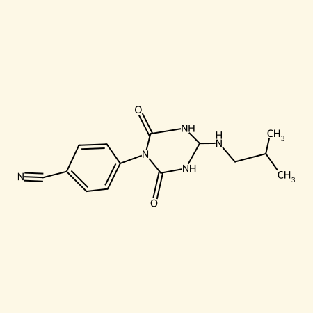 CC(C)CNC1NC(=O)N(c2ccc(C#N)cc2)C(=O)N1